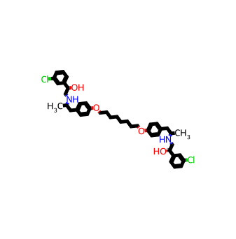 CC(Cc1ccc(OCCCCCCCCOc2ccc(CC(C)NC[C@H](O)c3cccc(Cl)c3)cc2)cc1)NCC(O)c1cccc(Cl)c1